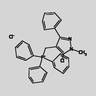 Cn1nc(-c2ccccc2)c(C[P+](c2ccccc2)(c2ccccc2)c2ccccc2)c1Cl.[Cl-]